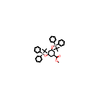 COC(=O)C1CC(O[Si](c2ccccc2)(c2ccccc2)C(C)(C)C)CC(O[Si](c2ccccc2)(c2ccccc2)C(C)(C)C)C1